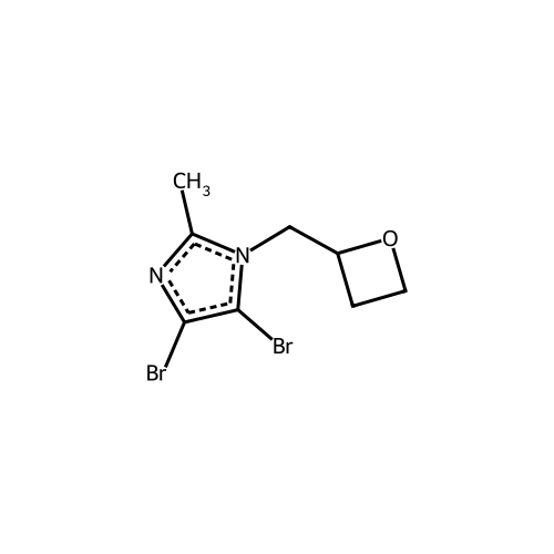 Cc1nc(Br)c(Br)n1CC1CCO1